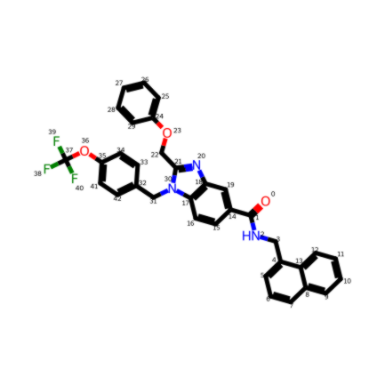 O=C(NCc1cccc2ccccc12)c1ccc2c(c1)nc(COc1ccccc1)n2Cc1ccc(OC(F)(F)F)cc1